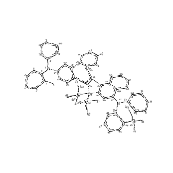 Cc1ccccc1N(c1ccccc1)c1ccc2c3c(c4ccccc4c2c1)-c1c(cc(N(c2ccccc2)c2ccccc2[Si](C)(C)C)c2ccccc12)C3([Si](C)(C)C)[Si](C)(C)C